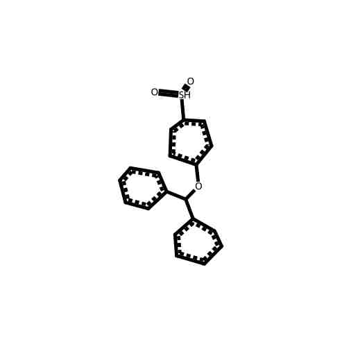 O=[SH](=O)c1ccc(OC(c2ccccc2)c2ccccc2)cc1